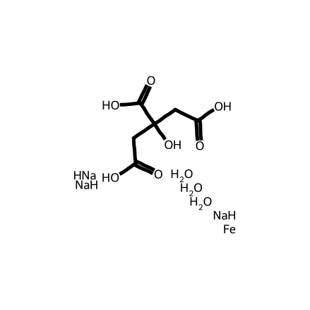 O.O.O.O=C(O)CC(O)(CC(=O)O)C(=O)O.[Fe].[NaH].[NaH].[NaH]